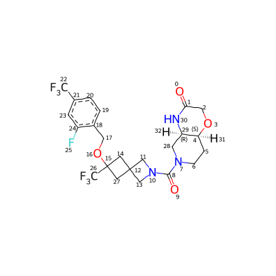 O=C1CO[C@H]2CCN(C(=O)N3CC4(C3)CC(OCc3ccc(C(F)(F)F)cc3F)(C(F)(F)F)C4)C[C@H]2N1